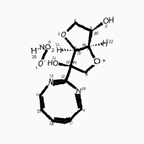 O=[N+]([O-])[O-].O[C@@H]1CO[C@H]2[C@@H]1OC[C@]2(O)C1=NC=CC=CC=N1.[H+]